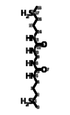 C[SiH2]CCCNC(=O)NCNC(=O)NCCC[SiH2]C